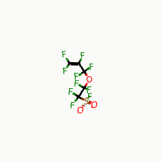 O=S(=O)(F)C(F)(F)C(F)(F)OC(F)(F)C(F)=C(F)F